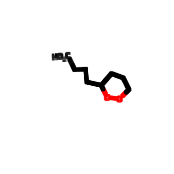 O=C(O)CCCC1CCCOO1